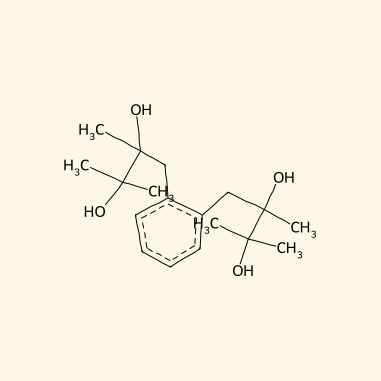 CC(C)(O)C(C)(O)Cc1ccccc1CC(C)(O)C(C)(C)O